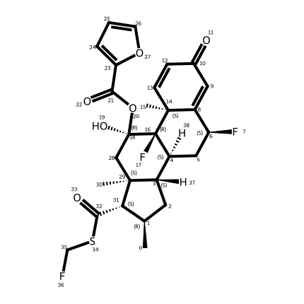 C[C@@H]1C[C@H]2[C@@H]3C[C@H](F)C4=CC(=O)C=C[C@]4(C)[C@@]3(F)[C@](O)(OC(=O)c3ccco3)C[C@]2(C)[C@H]1C(=O)SCF